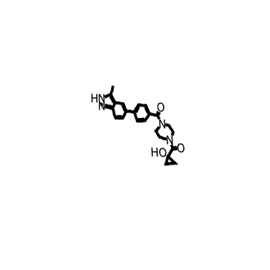 Cc1[nH]nc2ccc(-c3ccc(C(=O)N4CCN(C(=O)C5(O)CC5)CC4)cc3)cc12